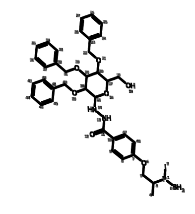 BP(I)C(C)COc1ccc(C(=O)NNC2OC(CO)C(OCc3ccccc3)C(OCc3ccccc3)C2OCc2ccccc2)cc1